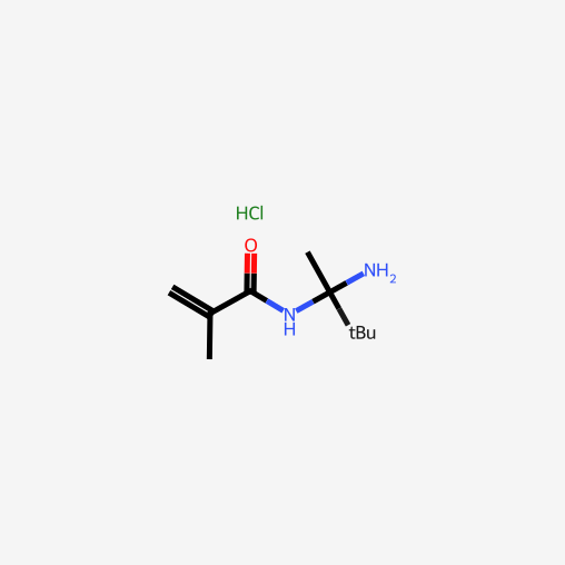 C=C(C)C(=O)NC(C)(N)C(C)(C)C.Cl